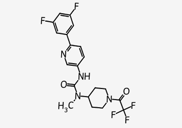 CN(C(=O)Nc1ccc(-c2cc(F)cc(F)c2)nc1)C1CCN(C(=O)C(F)(F)F)CC1